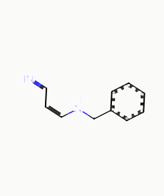 N=C/C=C\NCc1ccccc1